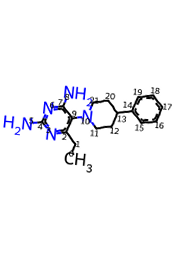 CCc1nc(N)nc(N)c1N1CCC(c2ccccc2)CC1